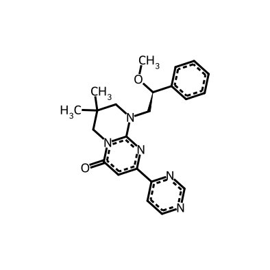 CO[C@H](CN1CC(C)(C)Cn2c1nc(-c1ccncn1)cc2=O)c1ccccc1